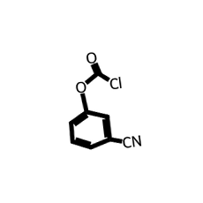 N#Cc1cccc(OC(=O)Cl)c1